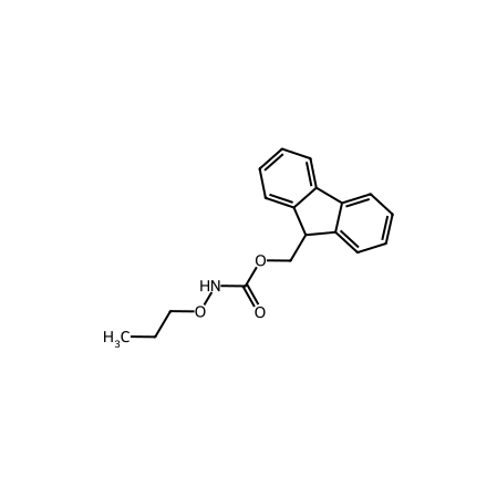 CCCONC(=O)OCC1c2ccccc2-c2ccccc21